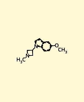 COc1ccc2c(ccn2C2CN(C)C2)c1